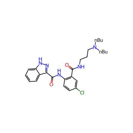 CCCCN(CCCC)CCCNC(=O)c1cc(Cl)ccc1NC(=O)c1n[nH]c2ccccc12